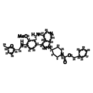 COc1cc(-c2nn(C3CCN(C(=O)OCc4ccccc4)CC3)c3cncc(N)c23)ccc1NCc1ccc(C)o1